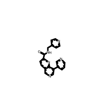 O=C(NCc1ccncc1)c1ccc2cncc(-c3cccnc3)c2n1